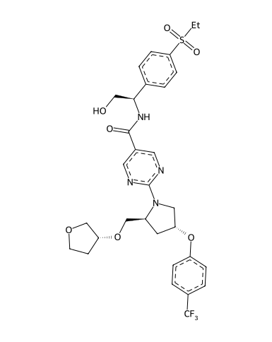 CCS(=O)(=O)c1ccc([C@H](CO)NC(=O)c2cnc(N3C[C@H](Oc4ccc(C(F)(F)F)cc4)C[C@H]3CO[C@@H]3CCOC3)nc2)cc1